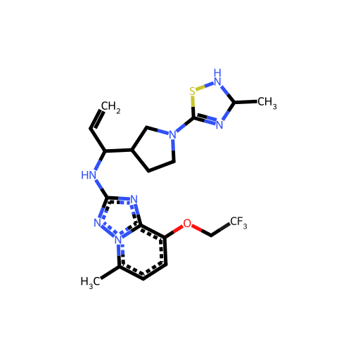 C=CC(Nc1nc2c(OCC(F)(F)F)ccc(C)n2n1)C1CCN(C2=NC(C)NS2)C1